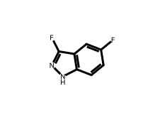 Fc1ccc2[nH]nc(F)c2c1